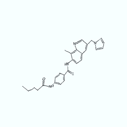 CCCCC(=O)Nc1ccc(C(=O)Nc2ccc3cc(Cn4cccc4)cnc3c2C)cc1